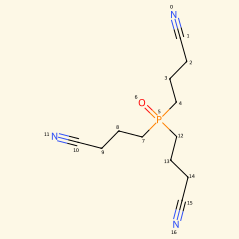 N#CCCCP(=O)(CCCC#N)CCCC#N